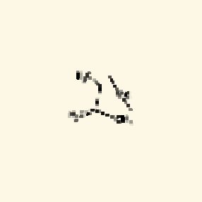 [CH2]CC(=C)C.[I][Mg][I]